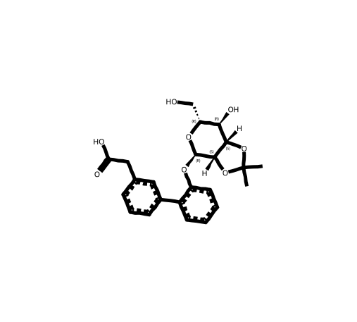 CC1(C)O[C@@H]2[C@@H](Oc3ccccc3-c3cccc(CC(=O)O)c3)O[C@H](CO)[C@@H](O)[C@@H]2O1